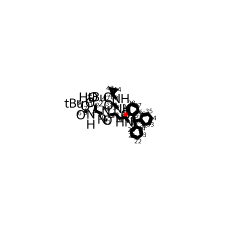 CC(C)(C)OCC(NC(=O)OC(C)(C)C)c1noc(C(CC(=O)NC(c2ccccc2)(c2ccccc2)c2ccccc2)NC(=O)NC2(C(=O)O)CC2)n1